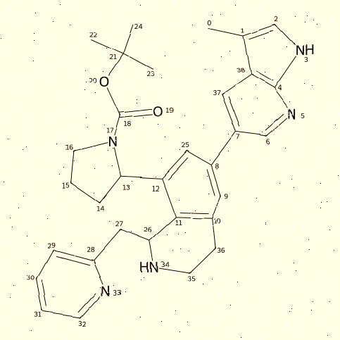 Cc1c[nH]c2ncc(-c3cc4c(c(C5CCCN5C(=O)OC(C)(C)C)c3)C(Cc3ccccn3)NCC4)cc12